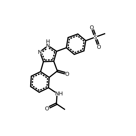 CC(=O)Nc1cccc2c1C(=O)c1c-2n[nH]c1-c1ccc(S(C)(=O)=O)cc1